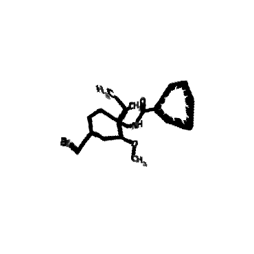 COC1CC(CBr)CCC1(NC(=O)c1ccccc1)C(C)C